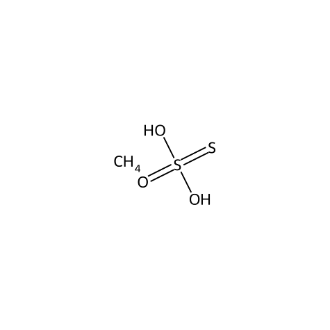 C.O=S(O)(O)=S